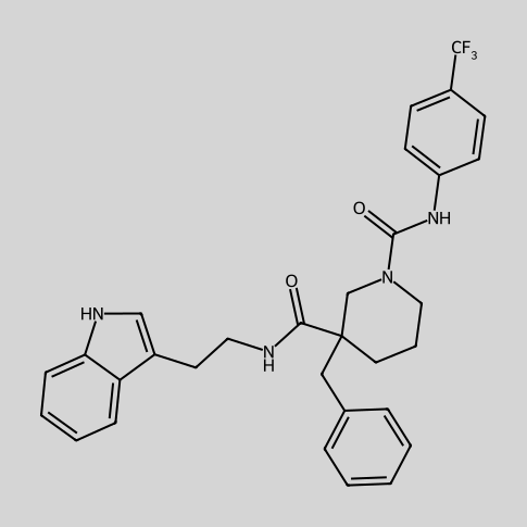 O=C(Nc1ccc(C(F)(F)F)cc1)N1CCCC(Cc2ccccc2)(C(=O)NCCc2c[nH]c3ccccc23)C1